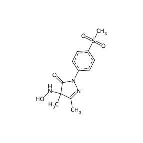 CC1=NN(c2ccc(S(C)(=O)=O)cc2)C(=O)C1(C)NO